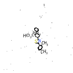 Cc1ccc(-c2csc(C3=CC=C(c4ccccc4)C(C(=O)O)([N+](=O)[O-])C3)n2)c(C)c1